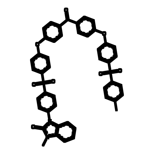 Cc1ccc(S(=O)(=O)c2ccc(Oc3ccc(C(=O)c4ccc(Oc5ccc(S(=O)(=O)c6ccc(-n7c(=O)n(C)c8ccccc87)cc6)cc5)cc4)cc3)cc2)cc1